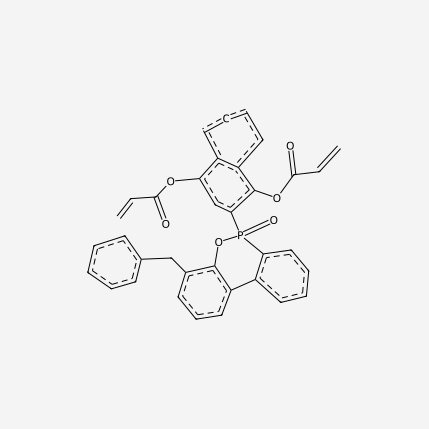 C=CC(=O)Oc1cc(P2(=O)Oc3c(Cc4ccccc4)cccc3-c3ccccc32)c(OC(=O)C=C)c2ccccc12